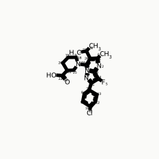 Cc1nc2c(F)c(-c3ccc(Cl)cc3)nn2c(N2CCCC(C(=O)O)C2)c1C(C)C